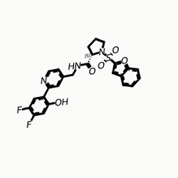 O=C(NCc1ccnc(-c2cc(F)c(F)cc2O)c1)[C@@H]1CCCN1S(=O)(=O)c1cc2ccccc2o1